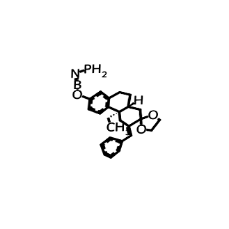 CC[C@@]12C/C(=C\c3ccccc3)C3(C[C@H]1CCc1cc(OB=NP)ccc12)OCCO3